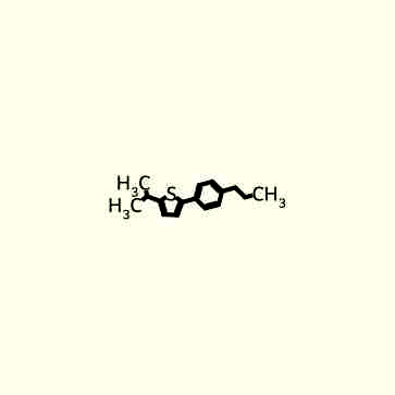 CCCc1ccc(-c2ccc(C(C)C)s2)cc1